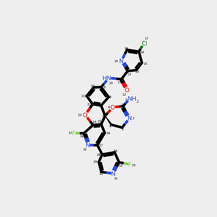 NC1=NCC[C@]2(O1)c1cc(NC(=O)c3ccc(Cl)cn3)ccc1Oc1c2cc(-c2ccnc(F)c2)nc1F